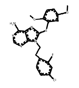 COc1ccc(OC)c(Sc2nc3c(N)ncnc3n2CCc2ccc(Cl)cc2F)c1